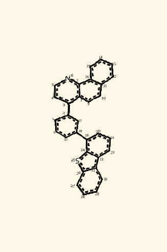 c1cc(-c2ccnc3c2ccc2ccccc23)cc(-c2cccc3c2sc2ccccc23)c1